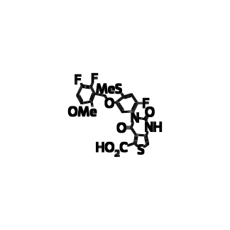 COc1ccc(F)c(F)c1COc1cc(-n2c(=O)[nH]c3csc(C(=O)O)c3c2=O)c(F)cc1SC